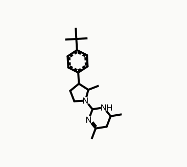 CC1=NC(N2CCC(c3ccc(C(C)(C)C)cc3)C2C)NC(C)C1